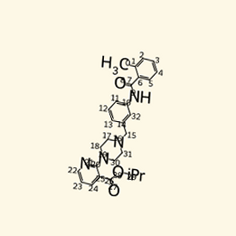 Cc1ccccc1C(=O)Nc1cccc(CN2CCN(c3ncccc3C(=O)OC(C)C)CC2)c1